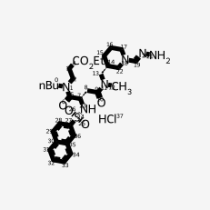 CCCCN(CCC(=O)OCC)C(=O)[C@H](CC(=O)N(C)C[C@@H]1CCCN(C=NN)C1)NS(=O)(=O)c1ccc2ccccc2c1.Cl